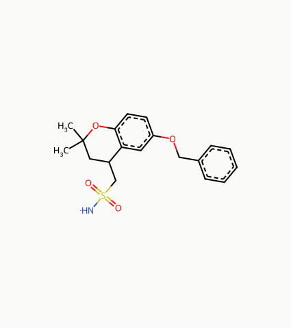 CC1(C)CC(CS([NH])(=O)=O)c2cc(OCc3ccccc3)ccc2O1